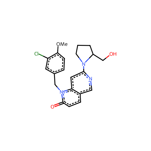 COc1ccc(Cn2c(=O)ccc3cnc(N4CCCC4CO)cc32)cc1Cl